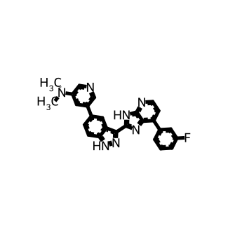 CN(C)c1cncc(-c2ccc3[nH]nc(-c4nc5c(-c6cccc(F)c6)ccnc5[nH]4)c3c2)c1